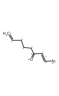 C=CCCCC(=O)/C=C/C(C)=O